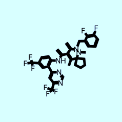 C=C(Nc1ccc(C(F)(F)F)cc1-c1cc(C(F)(F)F)ncn1)C1=C(C)C2(CCCC2)N(C)N(Cc2cccc(F)c2F)C1=C